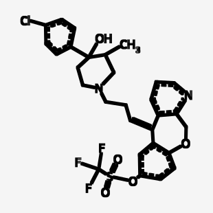 CC1CN(CC/C=C2/c3cc(OS(=O)(=O)C(F)(F)F)ccc3OCc3ncccc32)CCC1(O)c1ccc(Cl)cc1